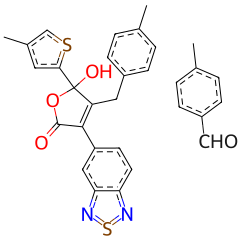 Cc1ccc(C=O)cc1.Cc1ccc(CC2=C(c3ccc4nsnc4c3)C(=O)OC2(O)c2cc(C)cs2)cc1